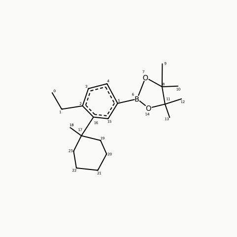 CCc1ccc(B2OC(C)(C)C(C)(C)O2)cc1C1(C)CCCCC1